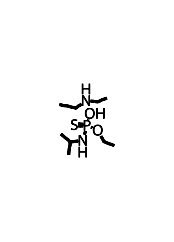 CCNCC.CCOP(O)(=S)NC(C)C